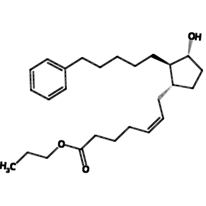 CCCOC(=O)CCC/C=C\C[C@H]1CC[C@@H](O)[C@@H]1CCCCCc1ccccc1